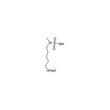 CCCCCCCCCCCCN(C)S([NH])(=O)=O